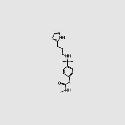 CNC(=O)Cc1ccc(C(C)(C)NCCCc2ncc[nH]2)cc1